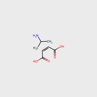 CC(C)N.O=C(O)/C=C\C(=O)O